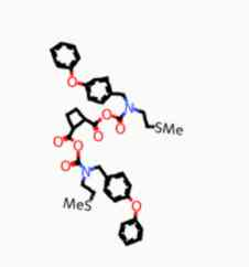 CSCCN(Cc1ccc(Oc2ccccc2)cc1)C(=O)OC(=O)C1CCC1C(=O)OC(=O)N(CCSC)Cc1ccc(Oc2ccccc2)cc1